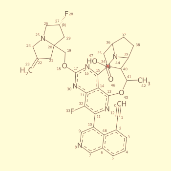 C#Cc1cccc2cncc(-c3nc4c5c(nc(OCC67CC(=C)CN6C[C@H](F)C7)nc5c3F)N3CC5CCC(C3C(C)O4)N5C(=O)O)c12